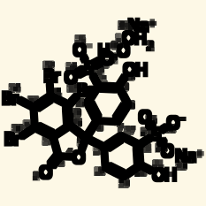 O.O.O=C1OC(c2ccc(O)c(S(=O)(=O)[O-])c2)(c2ccc(O)c(S(=O)(=O)[O-])c2)c2c(Br)c(Br)c(Br)c(Br)c21.[Na+].[Na+]